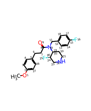 COc1ccc(CCC(=O)N(Cc2ccc(F)cc2)[C@H]2CCNC[C@H]2F)cc1